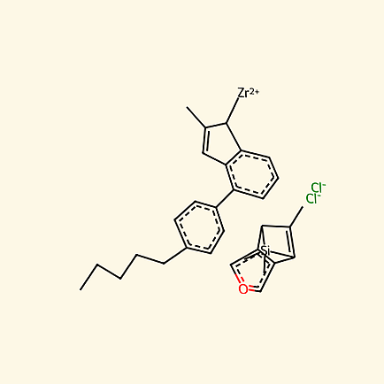 CC1=C2c3cocc3C1[Si]2(C)C.CCCCCc1ccc(-c2cccc3c2C=C(C)[CH]3[Zr+2])cc1.[Cl-].[Cl-]